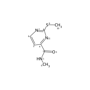 CNC(=O)c1ccnc(SC)n1